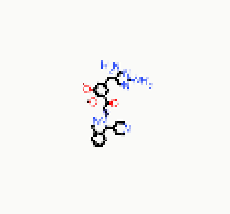 COc1cc(Cc2cnc(N)nc2N)cc(C(=O)/C=C/N2N=Cc3ccccc3C2c2ccncc2)c1OC